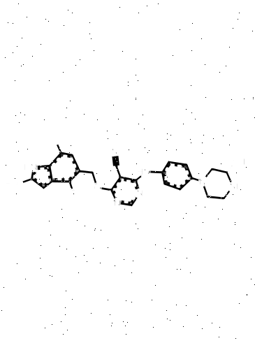 Cc1cc2c(F)c(COc3ncnc(Nc4ccc(N5CCN[C@@H](C)C5)cc4)c3C#N)cc(F)c2[nH]1